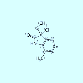 CSC1(Cl)C(=O)Nc2c(C)cccc21